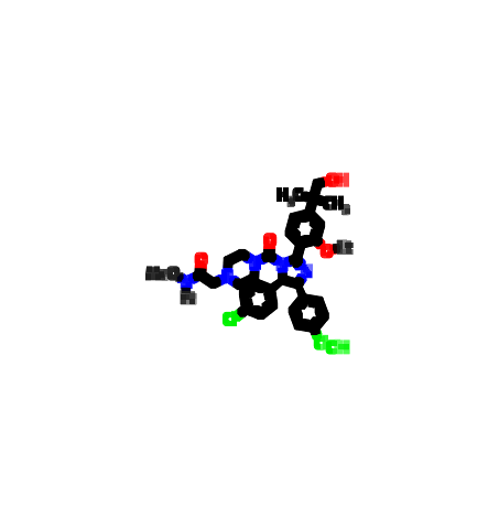 CCOc1cc(C(C)(C)CO)ccc1C1=N[C@@H](c2ccc(Cl)cc2)[C@@H](c2ccc(Cl)cc2)N1C(=O)N1CCN(CC(=O)N(CC)OC)CC1.Cl